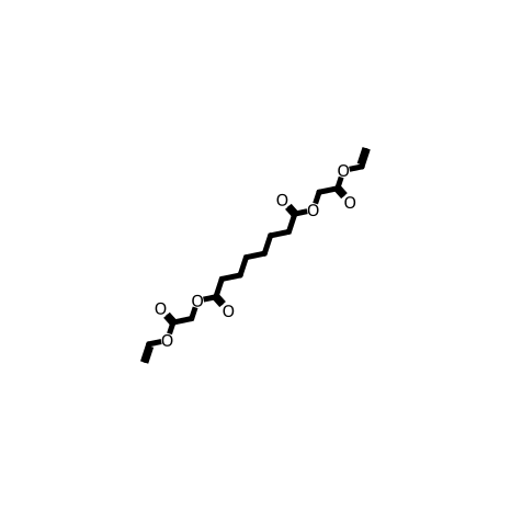 C=COC(=O)COC(=O)CCCCCCC(=O)OCC(=O)OC=C